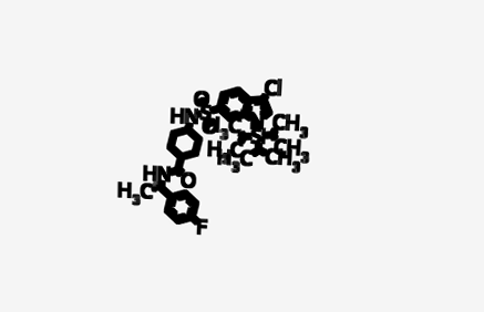 CC(C)[Si](C(C)C)(C(C)C)n1cc(Cl)c2ccc(S(=O)(=O)NC3CCC(C(=O)N[C@H](C)c4ccc(F)cc4)CC3)cc21